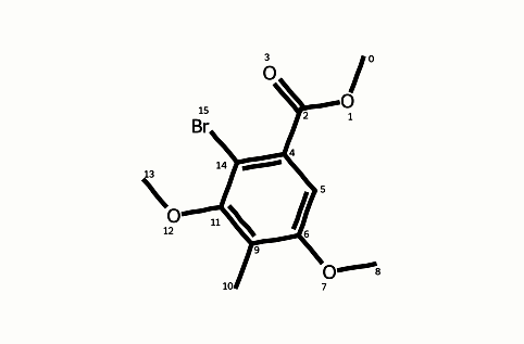 COC(=O)c1cc(OC)c(C)c(OC)c1Br